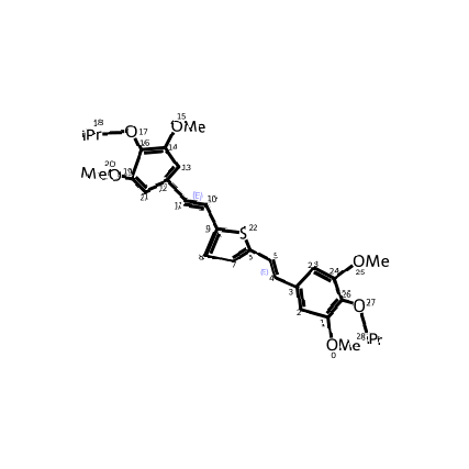 COc1cc(/C=C/c2ccc(/C=C/c3cc(OC)c(OC(C)C)c(OC)c3)s2)cc(OC)c1OC(C)C